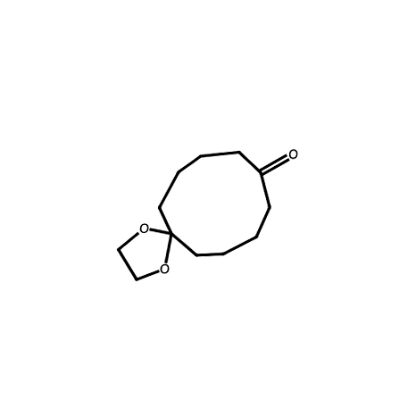 O=C1CCCCC2(CCCC1)OCCO2